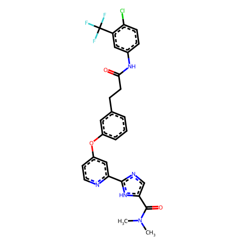 CN(C)C(=O)c1cnc(-c2cc(Oc3cccc(CCC(=O)Nc4ccc(Cl)c(C(F)(F)F)c4)c3)ccn2)[nH]1